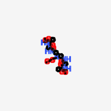 COCCOCCn1c2cc(NC(=O)[C@@H]3CCCN3C(=O)[C@H](NC(=O)OC)c3ccccc3)ccc2c2ccc(NC(=O)[C@@H]3CCCN3C(=O)[C@H](NC(=O)OC)c3ccccc3)cc21